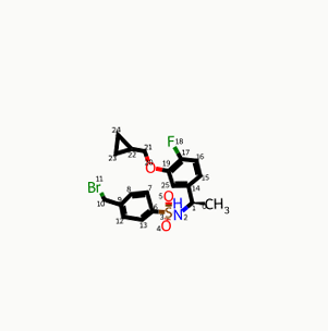 C[C@@H](NS(=O)(=O)c1ccc(CBr)cc1)c1ccc(F)c(OCC2CC2)c1